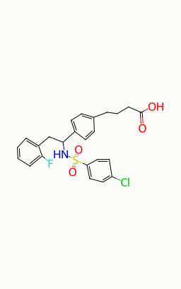 O=C(O)CCCc1ccc(C(Cc2ccccc2F)NS(=O)(=O)c2ccc(Cl)cc2)cc1